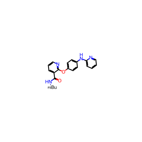 CC[C@@H](C)NC(=O)c1cccnc1Oc1ccc(Nc2ccccn2)cc1